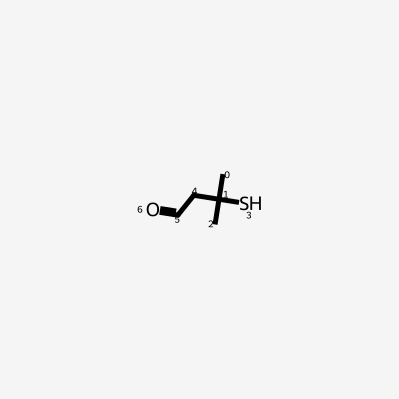 CC(C)(S)CC=O